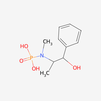 CC(C(O)c1ccccc1)N(C)P(=O)(O)O